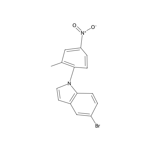 Cc1cc([N+](=O)[O-])ccc1-n1ccc2cc(Br)ccc21